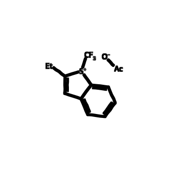 CC(=O)[O-].CCc1cc2ccccc2[s+]1C(F)(F)F